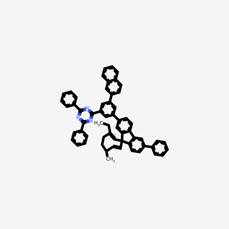 CC/C1=C\C2(/C=C/C(C)CC1)c1ccc(-c3ccccc3)cc1-c1ccc(-c3cc(-c4ccc5ccccc5c4)cc(-c4nc(-c5ccccc5)nc(-c5ccccc5)n4)c3)cc12